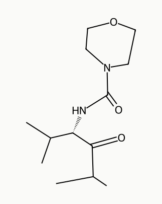 CC(C)C(=O)[C@@H](NC(=O)N1CCOCC1)C(C)C